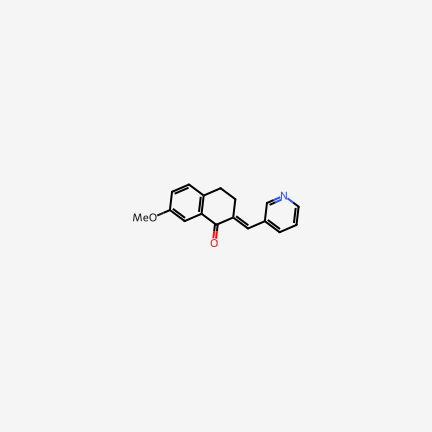 COc1ccc2c(c1)C(=O)C(=Cc1cccnc1)CC2